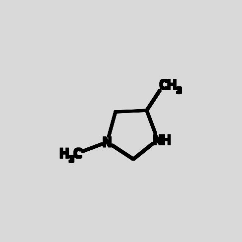 CC1CN(C)CN1